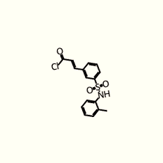 Cc1ccccc1NS(=O)(=O)c1cccc(C=CC(=O)Cl)c1